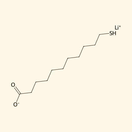 O=C([O-])CCCCCCCCCCS.[Li+]